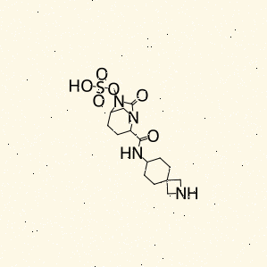 O=C(NC1CCC2(CC1)CNC2)C1CCC2CN1C(=O)N2OS(=O)(=O)O